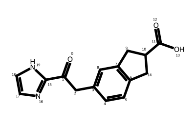 O=C(Cc1ccc2c(c1)CC(C(=O)O)C2)c1ncc[nH]1